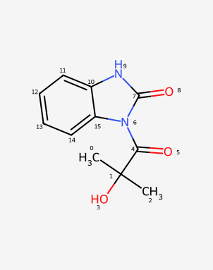 CC(C)(O)C(=O)n1c(=O)[nH]c2ccccc21